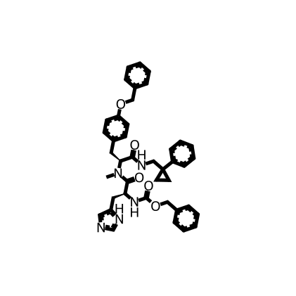 CN(C(=O)[C@H](Cc1cnc[nH]1)NC(=O)OCc1ccccc1)[C@@H](Cc1ccc(OCc2ccccc2)cc1)C(=O)NCC1(c2ccccc2)CC1